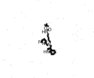 CC(C)(C)OC(=O)NCCCCCN(Cc1cccc(F)n1)Cc1c[nH]c2ccccc12